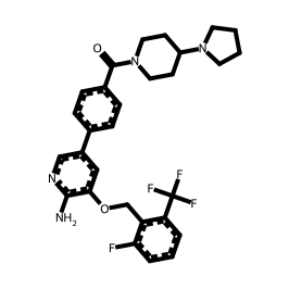 Nc1ncc(-c2ccc(C(=O)N3CCC(N4CCCC4)CC3)cc2)cc1OCc1c(F)cccc1C(F)(F)F